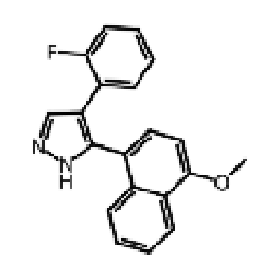 COc1ccc(-c2[nH]ncc2-c2ccccc2F)c2ccccc12